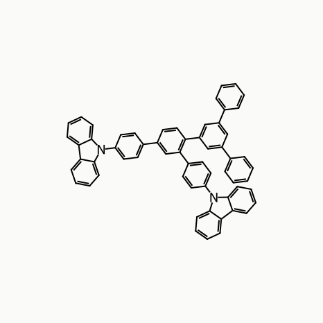 c1ccc(-c2cc(-c3ccccc3)cc(-c3ccc(-c4ccc(-n5c6ccccc6c6ccccc65)cc4)cc3-c3ccc(-n4c5ccccc5c5ccccc54)cc3)c2)cc1